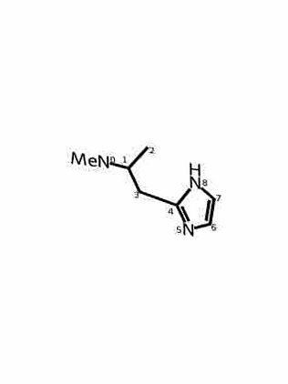 CNC(C)Cc1ncc[nH]1